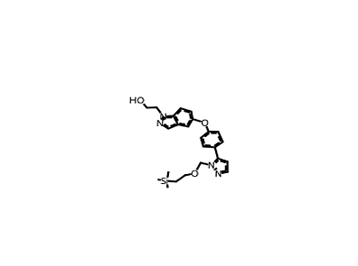 C[Si](C)(C)CCOCn1nccc1-c1ccc(Oc2ccc3c(cnn3CCO)c2)cc1